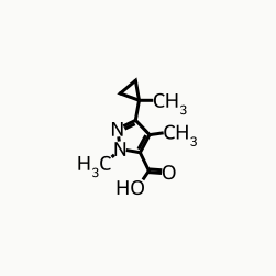 Cc1c(C2(C)CC2)nn(C)c1C(=O)O